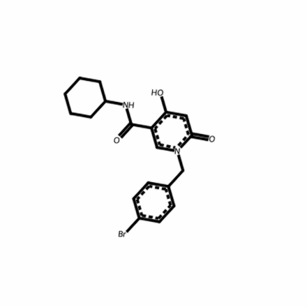 O=C(NC1CCCCC1)c1cn(Cc2ccc(Br)cc2)c(=O)cc1O